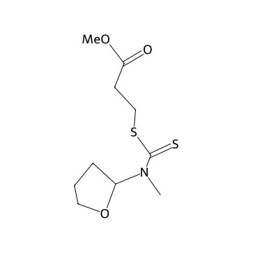 COC(=O)CCSC(=S)N(C)C1CCCO1